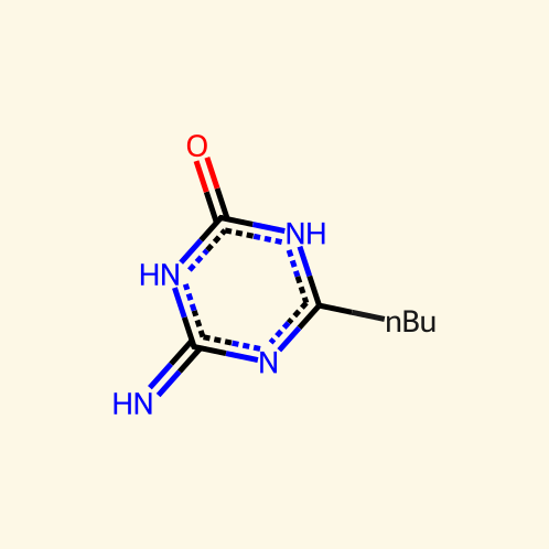 CCCCc1nc(=N)[nH]c(=O)[nH]1